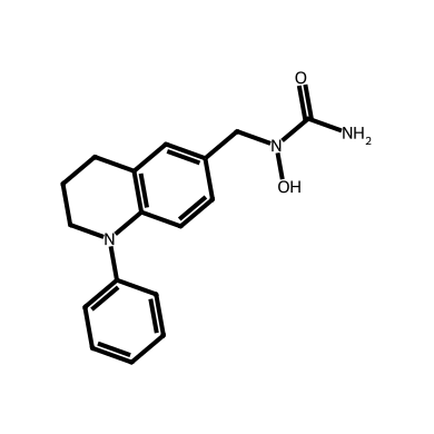 NC(=O)N(O)Cc1ccc2c(c1)CCCN2c1ccccc1